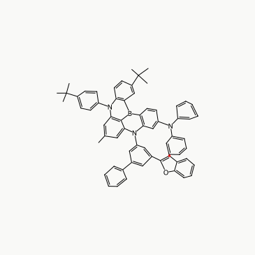 Cc1cc2c3c(c1)N(c1cc(-c4ccccc4)cc(-c4cc5ccccc5o4)c1)c1cc(N(c4ccccc4)c4ccccc4)ccc1B3c1cc(C(C)(C)C)ccc1N2c1ccc(C(C)(C)C)cc1